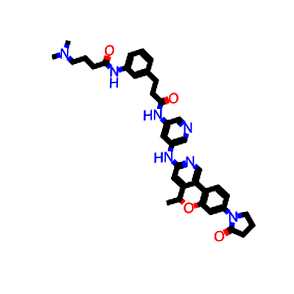 CC1Oc2cc(N3CCCC3=O)ccc2-c2cnc(Nc3cncc(NC(=O)CCc4cccc(NC(=O)CCCN(C)C)c4)c3)cc21